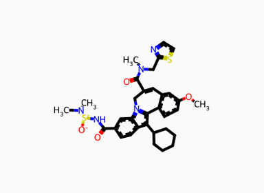 COc1ccc2c(c1)C=C(C(=O)N(C)Cc1nccs1)Cn1c-2c(C2CCCCC2)c2ccc(C(=O)N[S+]([O-])N(C)C)cc21